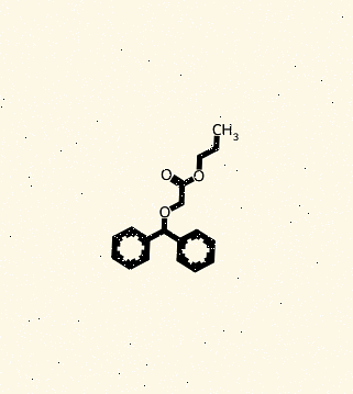 CCCOC(=O)COC(c1ccccc1)c1ccccc1